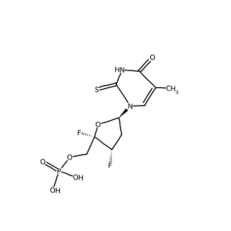 Cc1cn([C@H]2C[C@H](F)[C@@](F)(COP(=O)(O)O)O2)c(=S)[nH]c1=O